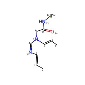 C/C=C/N=C\N(/C=C/C)CC(=O)NC(C)C